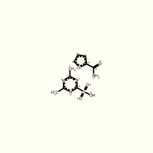 Cc1nc(C)nc(S(=O)(=O)O)n1.NC(=O)c1cccs1